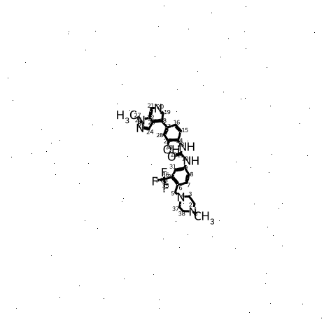 CN1CCN(Cc2ccc(NC(=O)Nc3ccc(-c4cncc5c4cnn5C)cc3O)cc2C(F)(F)F)CC1